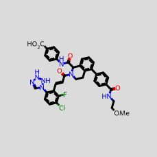 COCCNC(=O)c1ccc(-c2cccc3c2CCN(C(=O)/C=C/c2c(N4C=NNN4)ccc(Cl)c2F)C3C(=O)Nc2ccc(C(=O)O)cc2)cc1